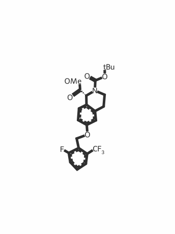 COC(=O)[C@H]1c2ccc(OCc3c(F)cccc3C(F)(F)F)cc2CCN1C(=O)OC(C)(C)C